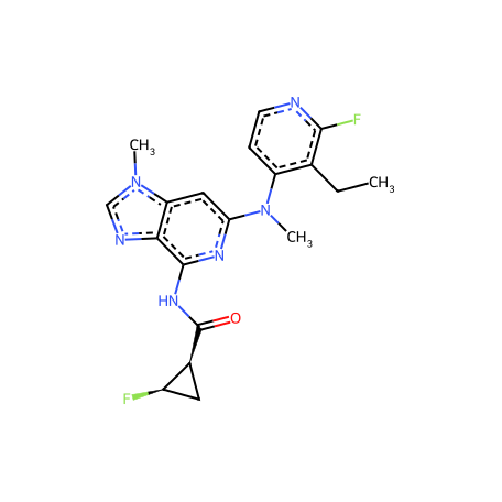 CCc1c(N(C)c2cc3c(ncn3C)c(NC(=O)[C@H]3C[C@H]3F)n2)ccnc1F